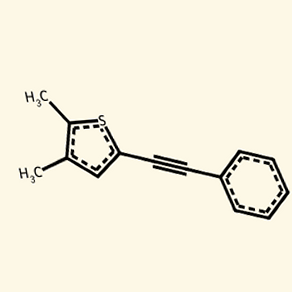 Cc1cc(C#Cc2ccccc2)sc1C